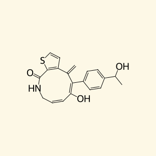 C=C1/C(c2ccc(C(C)O)cc2)=C(O)\C=C/CNC(=O)c2sccc21